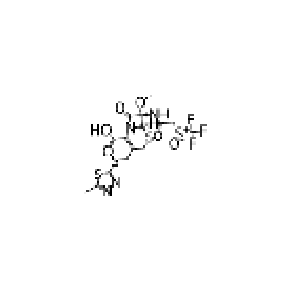 CO[C@@]1(NC(=O)C[S+]([O-])C(F)(F)F)C(=O)N2C(C(=O)O)=C(CSc3nnc(C)s3)CS[C@@H]21